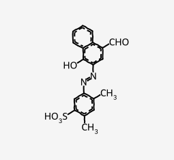 Cc1cc(C)c(S(=O)(=O)O)cc1N=Nc1cc(C=O)c2ccccc2c1O